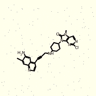 Cc1cc2nccc(C#CCNC3CCC(n4c(=O)n(C)c5cnc(Cl)nc54)CC3)c2cc1N